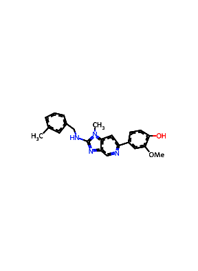 COc1cc(-c2cc3c(cn2)nc(NCc2cccc(C)c2)n3C)ccc1O